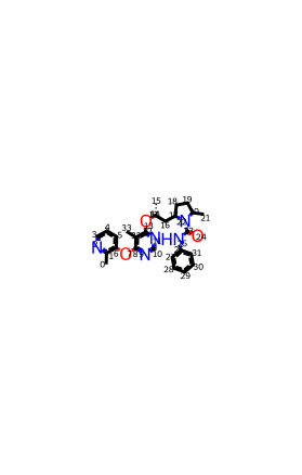 Cc1ncccc1Oc1ncnc(O[C@H](C)CC2CCC(C)N2C(=O)Nc2ccccc2)c1C